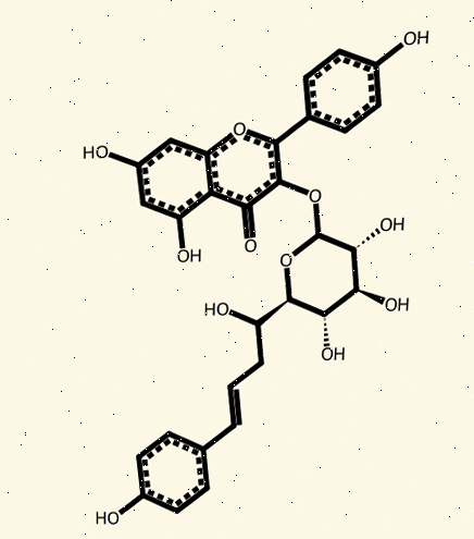 O=c1c(OC2O[C@H](C(O)CC=Cc3ccc(O)cc3)[C@@H](O)[C@H](O)[C@H]2O)c(-c2ccc(O)cc2)oc2cc(O)cc(O)c12